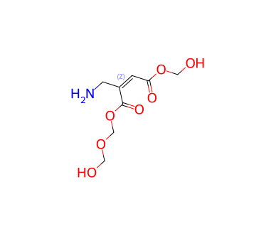 NC/C(=C/C(=O)OCO)C(=O)OCOCO